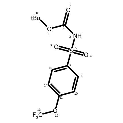 CC(C)(C)OC(=O)NS(=O)(=O)c1ccc(OC(F)(F)F)cc1